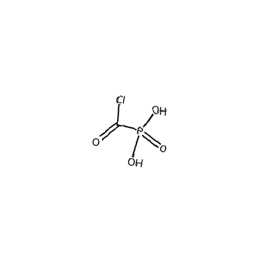 O=C(Cl)P(=O)(O)O